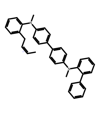 C/C=C\Cc1ccccc1N(C)c1ccc(-c2ccc(N(C)c3ccccc3-c3ccccc3)cc2)cc1